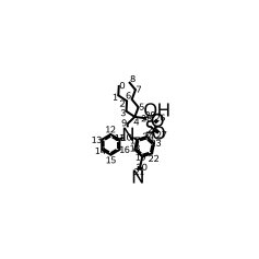 CCCCC1(CCCC)CN(c2ccccc2)c2cc(C#N)ccc2S(=O)(=O)C1O